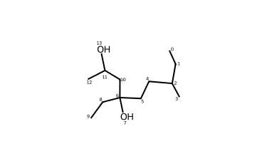 CCC(C)CCC(O)(CC)CC(C)O